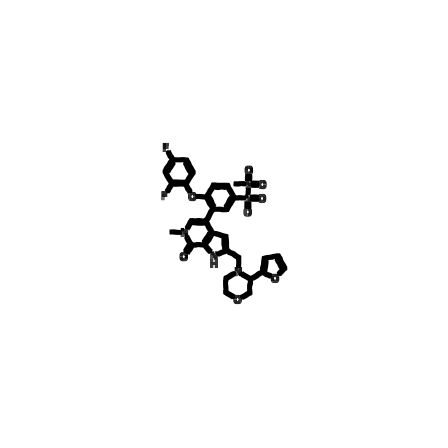 Cn1cc(-c2cc(S(=O)(=O)S(C)(=O)=O)ccc2Oc2ccc(F)cc2F)c2cc(CN3CCOCC3c3ccco3)[nH]c2c1=O